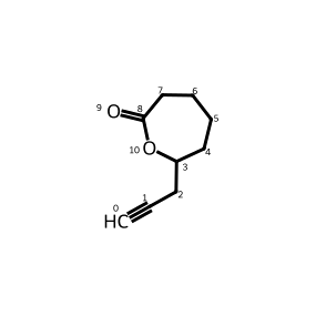 C#CCC1CCCCC(=O)O1